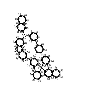 c1ccc(-c2cccc(N(c3ccc4ccccc4c3)c3ccc4sc5ccc(-c6ccc7c(c6)-c6ccccc6C76c7ccccc7-c7c6ccc6ccccc76)cc5c4c3)c2)cc1